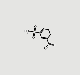 NS(=O)(=O)C1=CCCC([N+](=O)[O-])=C1